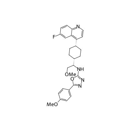 COCC(Nc1nnc(-c2ccc(OC)cc2)o1)[C@H]1CC[C@@H](c2ccnc3ccc(F)cc32)CC1